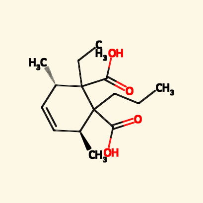 CCCC1(C(=O)O)[C@@H](C)C=C[C@H](C)C1(CC)C(=O)O